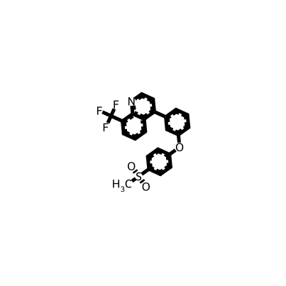 CS(=O)(=O)c1ccc(Oc2cccc(-c3ccnc4c(C(F)(F)F)cccc34)c2)cc1